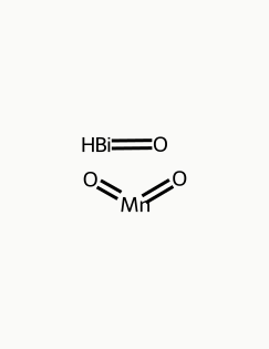 [O]=[BiH].[O]=[Mn]=[O]